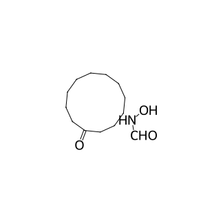 O=C1CCCCCCCCCCC1.O=CNO